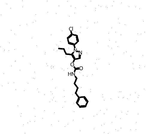 CCCc1c(OC(=O)NCCCCc2ccccc2)cnn1-c1ccc(Cl)cc1